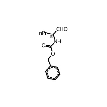 CCC[C@@H](C=O)NC(=O)OCc1ccccc1